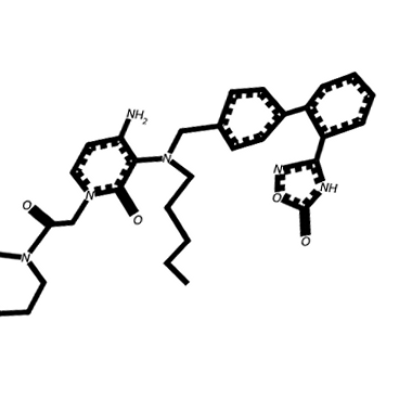 CCCCCN(Cc1ccc(-c2ccccc2-c2noc(=O)[nH]2)cc1)c1c(N)ccn(CC(=O)N2CCCCC2)c1=O